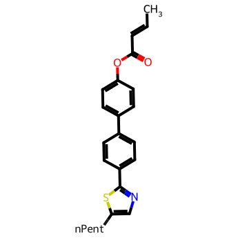 CC=CC(=O)Oc1ccc(-c2ccc(-c3ncc(CCCCC)s3)cc2)cc1